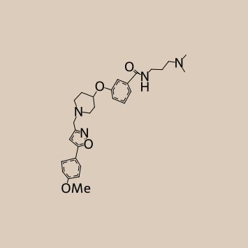 COc1ccc(-c2cc(CN3CCC(Oc4cccc(C(=O)NCCCN(C)C)c4)CC3)no2)cc1